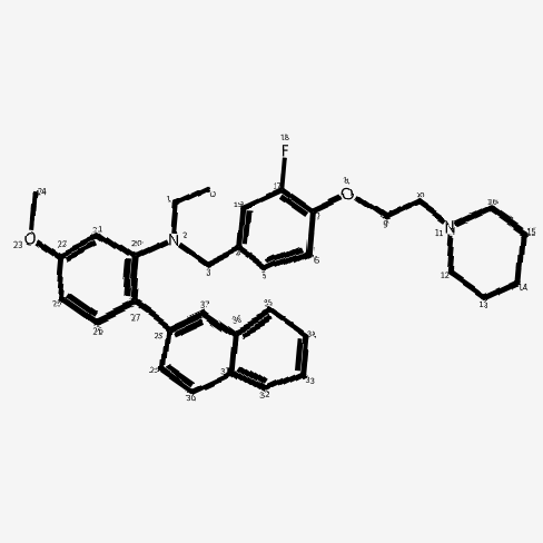 CCN(Cc1ccc(OCCN2CCCCC2)c(F)c1)c1cc(OC)ccc1-c1ccc2ccccc2c1